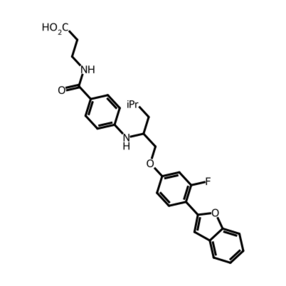 CC(C)CC(COc1ccc(-c2cc3ccccc3o2)c(F)c1)Nc1ccc(C(=O)NCCC(=O)O)cc1